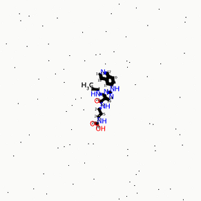 CCCNc1nc(Nc2ccc3cnccc3c2)ncc1C(=O)NCCCNC(=O)O